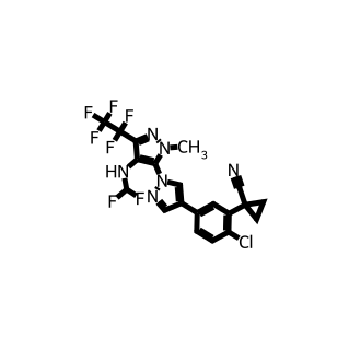 Cn1nc(C(F)(F)C(F)(F)F)c(NC(F)F)c1-n1cc(-c2ccc(Cl)c(C3(C#N)CC3)c2)cn1